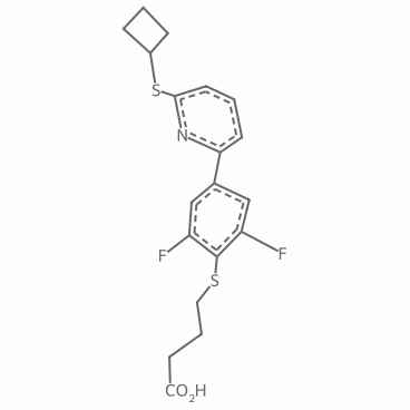 O=C(O)CCCSc1c(F)cc(-c2cccc(SC3CCC3)n2)cc1F